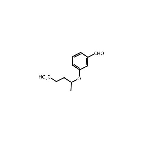 CC(CCC(=O)O)Oc1cccc(C=O)c1